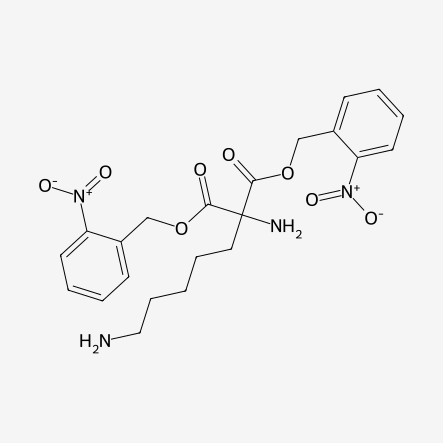 NCCCCCC(N)(C(=O)OCc1ccccc1[N+](=O)[O-])C(=O)OCc1ccccc1[N+](=O)[O-]